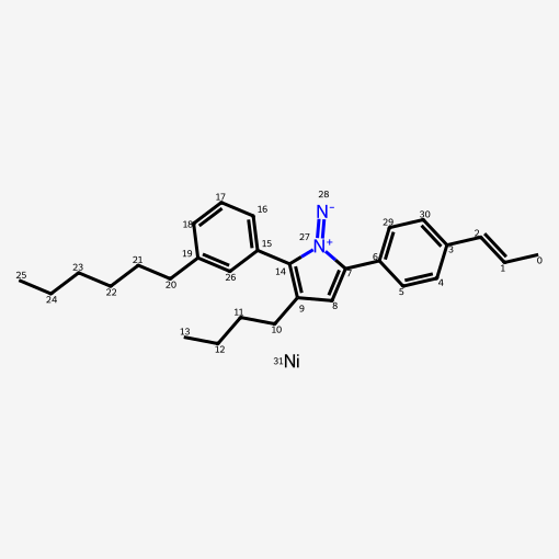 CC=Cc1ccc(C2=CC(CCCC)=C(c3cccc(CCCCCC)c3)[N+]2=[N-])cc1.[Ni]